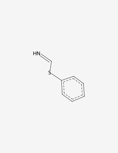 N=CSc1ccccc1